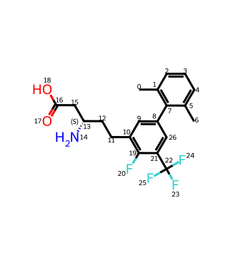 Cc1cccc(C)c1-c1cc(CC[C@H](N)CC(=O)O)c(F)c(C(F)(F)F)c1